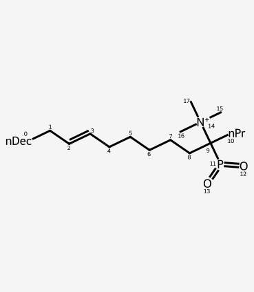 CCCCCCCCCCCC=CCCCCCC(CCC)(P(=O)=O)[N+](C)(C)C